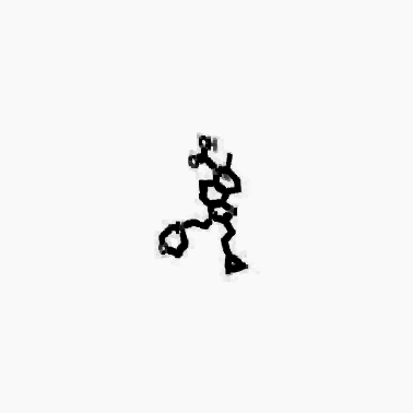 C[C@H]1CCc2c(ccc3c2nc(CCC2CC2)n3CCN2CCOCC2)N1C(=O)O